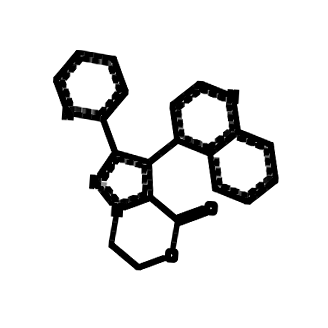 O=C1OCCn2nc(-c3ccccn3)c(-c3ccnc4ccccc34)c21